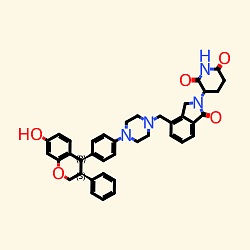 O=C1CCC(N2Cc3c(CN4CCN(c5ccc([C@@H]6c7ccc(O)cc7OC[C@@H]6c6ccccc6)cc5)CC4)cccc3C2=O)C(=O)N1